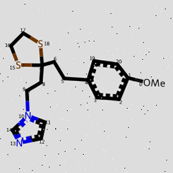 COc1ccc(CCC2(CCn3ccnc3)SCCS2)cc1